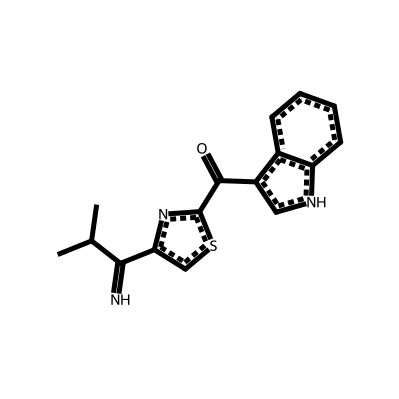 CC(C)C(=N)c1csc(C(=O)c2c[nH]c3ccccc23)n1